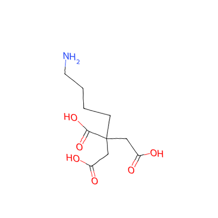 NCCCCC(CC(=O)O)(CC(=O)O)C(=O)O